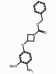 COc1cc(OC2CN(C(=O)OCc3ccccc3)C2)ccc1N